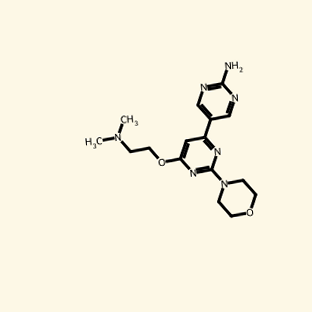 CN(C)CCOc1cc(-c2cnc(N)nc2)nc(N2CCOCC2)n1